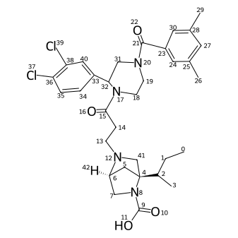 CCC(C)[C@]12C[C@@H](CN1C(=O)O)N(CCC(=O)N1CCN(C(=O)c3cc(C)cc(C)c3)CC1c1ccc(Cl)c(Cl)c1)C2